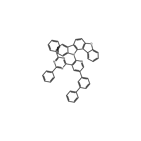 c1ccc(-c2cccc(-c3cnc(-n4c5ccccc5c5ccc6oc7ccccc7c6c54)c(-c4nc(-c5ccccc5)nc(-c5ccccc5)n4)c3)c2)cc1